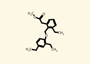 CCc1ccc(OCc2c(CC)cccc2CC(=O)OC)c(CC)c1